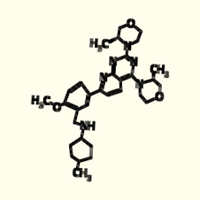 COc1ccc(-c2ccc3c(N4CCOC[C@@H]4C)nc(N4CCOC[C@@H]4C)nc3n2)cc1CNC1CCC(C)CC1